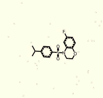 CC(C)c1ccc(S(=O)(=O)N2CCOc3ccc(F)cc32)cc1